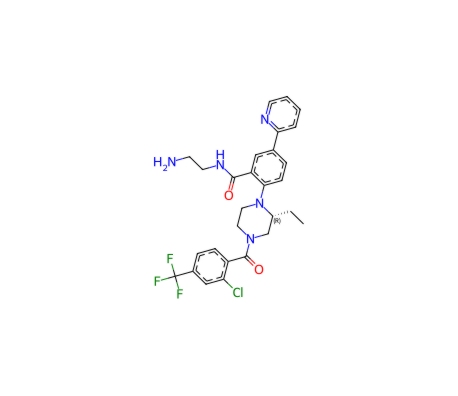 CC[C@@H]1CN(C(=O)c2ccc(C(F)(F)F)cc2Cl)CCN1c1ccc(-c2ccccn2)cc1C(=O)NCCN